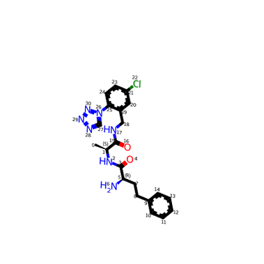 C[C@H](NC(=O)[C@H](N)CCc1ccccc1)C(=O)NCc1cc(Cl)ccc1-n1cnnn1